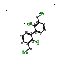 Clc1c(CBr)cccc1-c1cccc(CBr)c1Cl